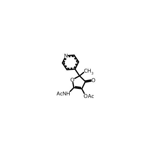 CC(=O)NC1=C(OC(C)=O)C(=O)C(C)(c2ccncc2)O1